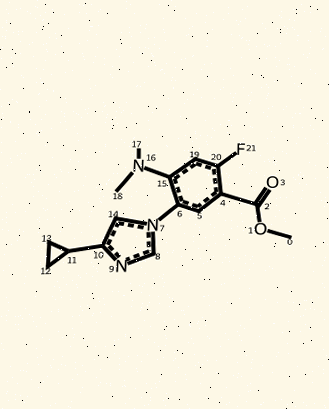 COC(=O)c1cc(-n2cnc(C3CC3)c2)c(N(C)C)cc1F